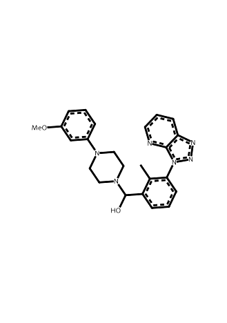 COc1cccc(N2CCN(C(O)c3cccc(-n4nnc5cccnc54)c3C)CC2)c1